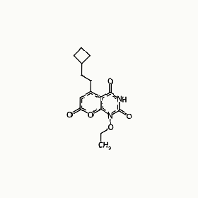 CCOn1c(=O)[nH]c(=O)c2c(CCC3CCC3)cc(=O)oc21